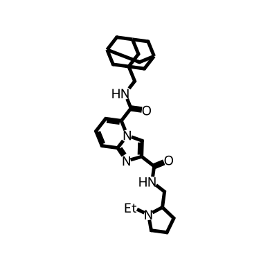 CCN1CCCC1CNC(=O)c1cn2c(C(=O)NCC34CC5CC(CC(C5)C3)C4)cccc2n1